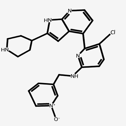 [O-][n+]1cccc(CNc2ccc(Cl)c(-c3ccnc4[nH]c(C5CCNCC5)cc34)n2)c1